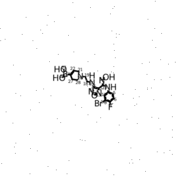 O/N=C(\Nc1ccc(F)c(Br)c1)c1nonc1NCCN1CC=C(B(O)O)CC1